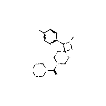 CC(C)N1CC2(CCN(C(=O)N3CCOCC3)CC2)C1c1ccc(O)cc1